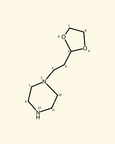 C1CN(CCC2OCCO2)CCN1